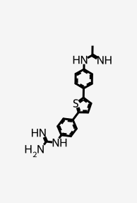 CC(=N)Nc1ccc(-c2ccc(-c3ccc(NC(=N)N)cc3)s2)cc1